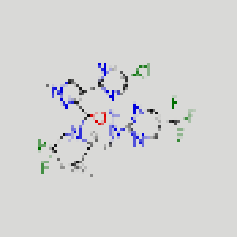 C[C@@H]1CC(F)(F)CN(C(=O)c2nn(C)cc2-c2ncc(Cl)cn2)[C@@H]1CNc1ncc(C(F)(F)F)cn1